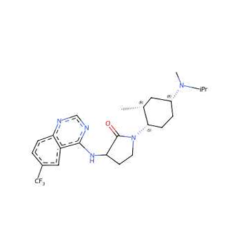 [CH2][C@@H]1C[C@H](N(C)C(C)C)CC[C@@H]1N1CCC(Nc2ncnc3ccc(C(F)(F)F)cc23)C1=O